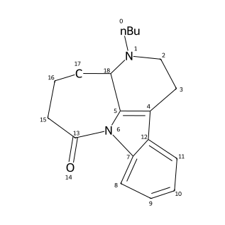 CCCCN1CCc2c3n(c4ccccc24)C(=O)CCCC31